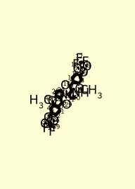 COc1cc(OS(=O)(=O)C(F)(F)F)ccc1C(=O)c1[nH]ccc1-n1cccc1C(=O)c1ccc(OS(=O)(=O)C(F)(F)F)cc1OC